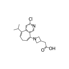 CC(C)C1=CCC=C(N2CC(CC(=O)O)C2)c2cnc(Cl)cc21